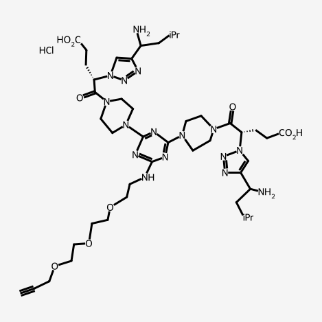 C#CCOCCOCCOCCNc1nc(N2CCN(C(=O)[C@H](CCC(=O)O)n3cc(C(N)CC(C)C)nn3)CC2)nc(N2CCN(C(=O)[C@H](CCC(=O)O)n3cc(C(N)CC(C)C)nn3)CC2)n1.Cl